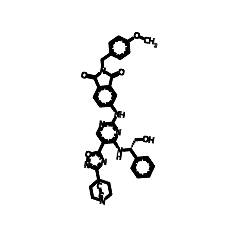 COc1ccc(CN2C(=O)c3ccc(Nc4ncc(-c5nc(C67CCN(CC6)CC7)no5)c(N[C@H](CO)c5ccccc5)n4)cc3C2=O)cc1